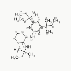 CCC(C)(C)NC1CCCCC1Nc1nc(C(C)(C)CC)nc(C(C)(CC)CC)n1